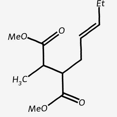 CCC=CCC(C(=O)OC)C(C)C(=O)OC